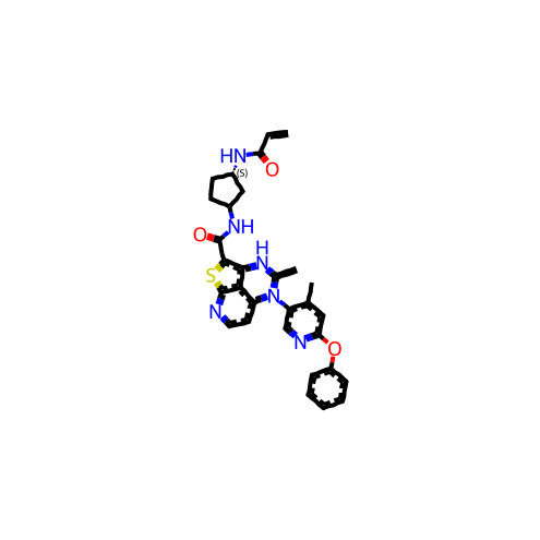 C=CC(=O)N[C@H]1CCC(NC(=O)c2sc3nccc4c3c2[nH]c(=C)n4-c2cnc(Oc3ccccc3)cc2C)C1